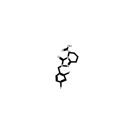 O=C(O)[C@@H]1CCCc2nn(Cc3ccc(F)cc3F)c(=O)n21